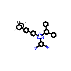 C[C@@H]1C[C@@H]2C[C@H](C)CC(c3ccc(-c4ccc(-c5nc(-c6cc(C#N)cc(C#N)c6)nc(-c6cc(-c7ccccc7)cc(-c7ccccc7)c6)n5)cc4)cc3)(C1)C2